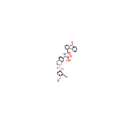 CCOc1ccc(S(=O)(=O)N2CCc3ccc(C(NC(=O)c4cccc5c4-c4ccccc4C5=O)C(=O)O)cc3C2)cc1C#N